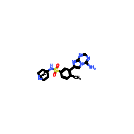 Cc1ccc(S(=O)(=O)NC23CCN(CC2)CC3)cc1-c1cn2c(N)ncnc2n1